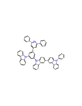 c1ccc(-c2cc(-c3cc(-n4c5ccccc5c5ccccc54)cc(-n4c5ccccc5c5cc(-c6ccc7c(c6)c6ccccc6n7-c6ccccc6)ccc54)c3)cc(-c3ccccc3)n2)cc1